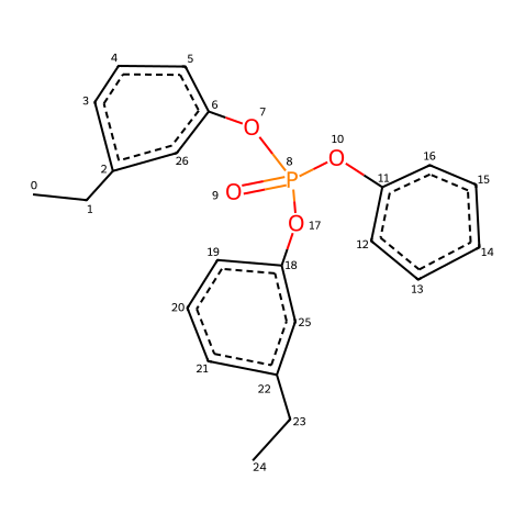 CCc1cccc(OP(=O)(Oc2ccccc2)Oc2cccc(CC)c2)c1